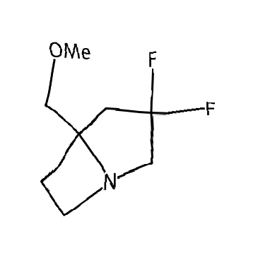 COCC12CCN1CC(F)(F)C2